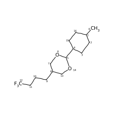 CC1CCC(C2OCC(CCCC(F)(F)F)CO2)CC1